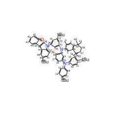 Cc1cc2c(cc1N1c3cc(N(c4ccc(C(C)(C)C)cc4)c4ccc(C(C)(C)C)cc4)ccc3B3c4c1cc(C(C)(C)C)cc4-n1c4oc5ccccc5c4c4cc(C(C)(C)C)cc3c41)C(C)(C)CCC2(C)C